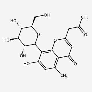 CC(=O)Cc1cc(=O)c2c(C)cc(O)c(C3O[C@H](CO)[C@@H](O)[C@H](O)[C@H]3O)c2o1